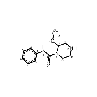 O=C(Nc1ccccc1)N1CCNCC1OC(F)(F)F